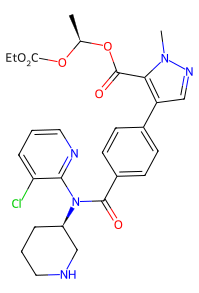 CCOC(=O)O[C@@H](C)OC(=O)c1c(-c2ccc(C(=O)N(c3ncccc3Cl)[C@@H]3CCCNC3)cc2)cnn1C